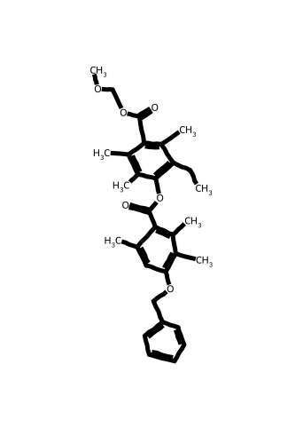 CCc1c(C)c(C(=O)OCOC)c(C)c(C)c1OC(=O)c1c(C)cc(OCc2ccccc2)c(C)c1C